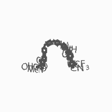 CNC(=O)C(CCC=O)N1C(=O)c2ccc(N3CCC(CN4CCN(CC5CCN(c6ccc(NC(=O)C7(F)CCN(c8ccc(C#N)c(C(F)(F)F)c8)CC7)nc6)CC5)CC4)CC3)cc2C1=O